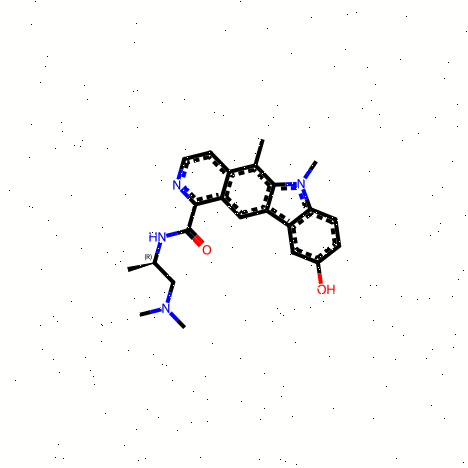 Cc1c2ccnc(C(=O)N[C@H](C)CN(C)C)c2cc2c3cc(O)ccc3n(C)c12